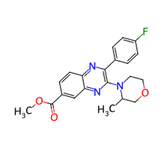 COC(=O)c1ccc2nc(-c3ccc(F)cc3)c(N3CCOCC3C)nc2c1